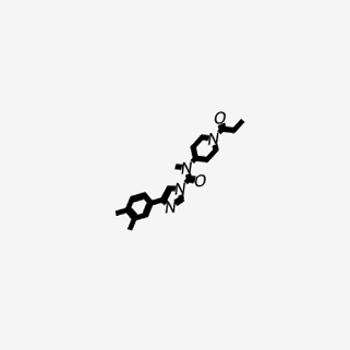 CCC(=O)N1CCC(N(C)C(=O)n2cnc(-c3ccc(C)c(C)c3)c2)CC1